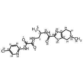 CC(CNC(=O)C(=O)Nc1ccc(Cl)cn1)NC(=O)c1nc2c(s1)CN(C)CC2